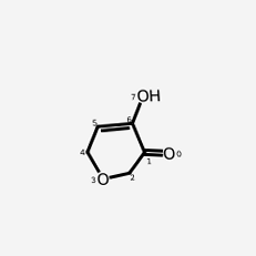 O=C1COCC=C1O